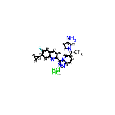 Cl.Cl.N[C@H]1CCN([C@H](c2ccc3nnc(-c4ccc5cc(F)c(C6CC6)cc5n4)n3c2)C(F)(F)F)C1